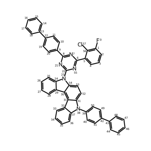 Fc1cccc(-c2nc(-c3ccc(-c4ccccc4)cc3)nc(-n3c4ccccc4c4c5c6ccccc6n(-c6ccc(-c7ccccc7)cc6)c5ccc43)n2)c1Cl